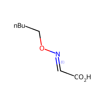 CCCCCO/N=C/C(=O)O